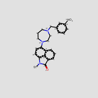 CCN1C(=O)c2cccc3c(N4CCCN(Cc5cccc([N+](=O)[O-])c5)CC4)ccc1c23